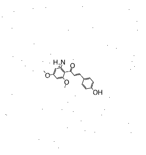 COc1cc(N)c(C(=O)/C=C/c2ccc(O)cc2)c(OC)c1